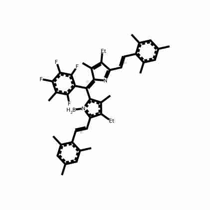 Bn1c(/C=C/c2c(C)cc(C)cc2C)c(CC)c(C)c1/C(=C1N=C(/C=C/c2c(C)cc(C)cc2C)C(CC)=C\1C)c1c(F)c(C)c(F)c(F)c1F